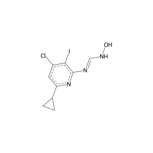 ON/C=N/c1nc(C2CC2)cc(Cl)c1I